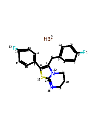 Br.Fc1ccc(CC2=C(c3ccc(F)cc3)SC3=NCCCN32)cc1